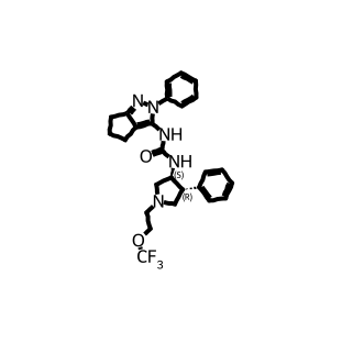 O=C(Nc1c2c(nn1-c1ccccc1)CCC2)N[C@@H]1CN(CCOC(F)(F)F)C[C@H]1c1ccccc1